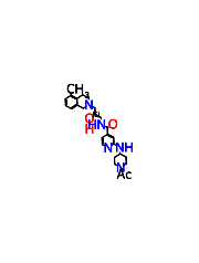 CC(=O)N1CCC(Nc2cc(C(=O)NC[C@H](O)CN3CCc4c(C)cccc4C3)ccn2)CC1